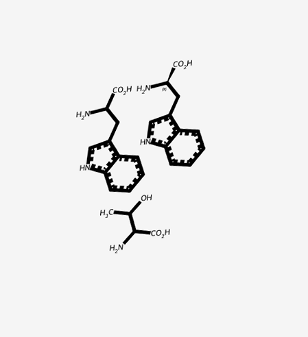 CC(O)C(N)C(=O)O.NC(Cc1c[nH]c2ccccc12)C(=O)O.N[C@H](Cc1c[nH]c2ccccc12)C(=O)O